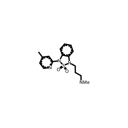 CNCCCN1c2ccccc2N(c2cc(C)ccn2)S1(=O)=O